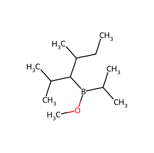 CCC(C)C(B(OC)C(C)C)C(C)C